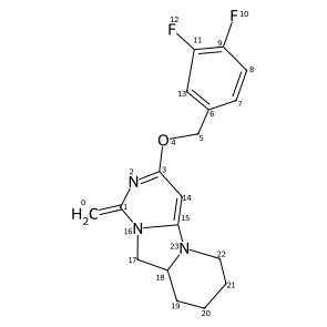 C=C1N=C(OCc2ccc(F)c(F)c2)C=C2N1CC1CCCCN21